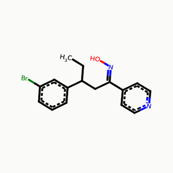 CCC(CC(=NO)c1ccncc1)c1cccc(Br)c1